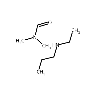 CCCNCC.CN(C)C=O